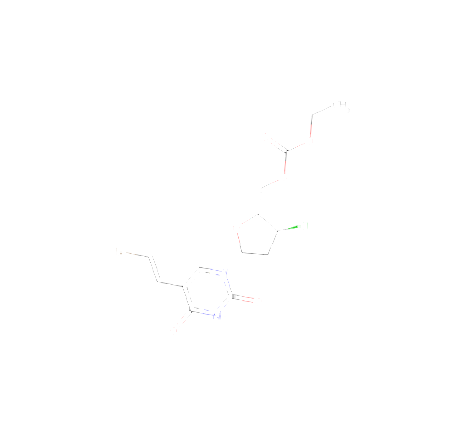 CCOC(=O)OC[C@H]1O[C@@H](n2cc(C=CBr)c(=O)[nH]c2=O)C[C@@H]1Cl